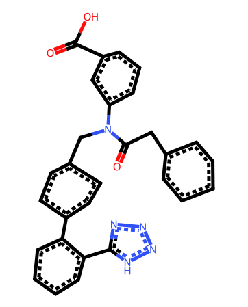 O=C(O)c1cccc(N(Cc2ccc(-c3ccccc3-c3nnn[nH]3)cc2)C(=O)Cc2ccccc2)c1